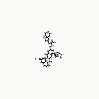 CCc1c(F)ccc2cc(O)cc(-c3c(C)cc4c(N5CC6CCC(C5)N6)nc(OCC5(CN6CCC7(CCOCC7)C6)CC5)nc4c3F)c12